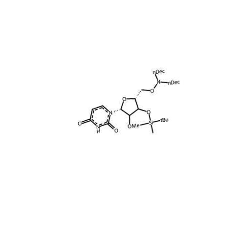 CCCCCCCCCCN(CCCCCCCCCC)OC[C@H]1O[C@@H](n2ccc(=O)[nH]c2=O)C(OC)C1O[Si](C)(C)C(C)(C)C